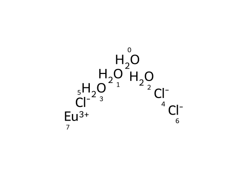 O.O.O.O.[Cl-].[Cl-].[Cl-].[Eu+3]